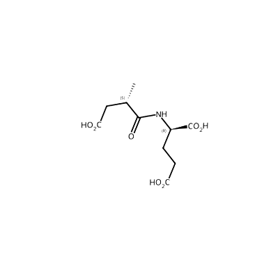 C[C@@H](CC(=O)O)C(=O)N[C@H](CCC(=O)O)C(=O)O